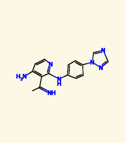 CC(=N)c1c(N)ccnc1Nc1ccc(-n2cncn2)cc1